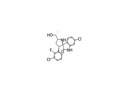 C[C@@H](O)C1C[C@H](c2cccc(Cl)c2F)[C@@]2(N1)C(=O)Nc1cc(Cl)ccc12